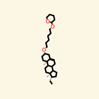 CC[C@H]1CCC2C3CC=C4C[C@@H](OCCCCCCOC5CCCCO5)CC[C@]4(C)C3CC[C@@]21C